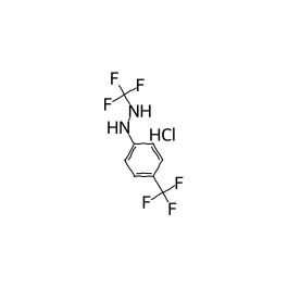 Cl.FC(F)(F)NNc1ccc(C(F)(F)F)cc1